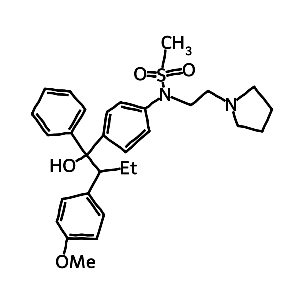 CCC(c1ccc(OC)cc1)C(O)(c1ccccc1)c1ccc(N(CCN2CCCC2)S(C)(=O)=O)cc1